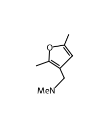 CNCc1cc(C)oc1C